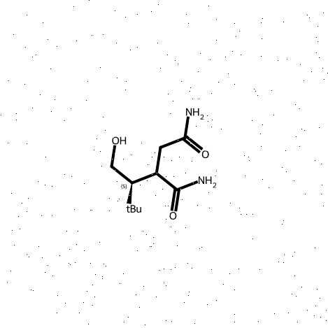 CC(C)(C)[C@@H](CO)C(CC(N)=O)C(N)=O